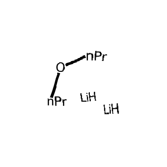 CCCOCCC.[LiH].[LiH]